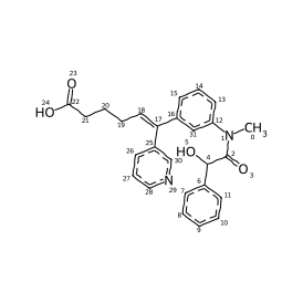 CN(C(=O)C(O)c1ccccc1)c1cccc(C(=CCCCC(=O)O)c2cccnc2)c1